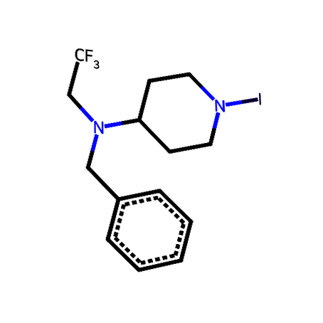 FC(F)(F)CN(Cc1ccccc1)C1CCN(I)CC1